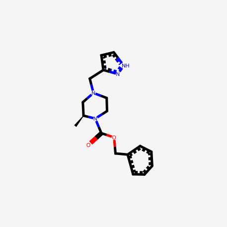 C[C@H]1CN(Cc2cc[nH]n2)CCN1C(=O)OCc1ccccc1